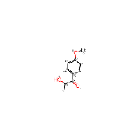 CCOc1ccc(C(=O)C(C)O)cc1